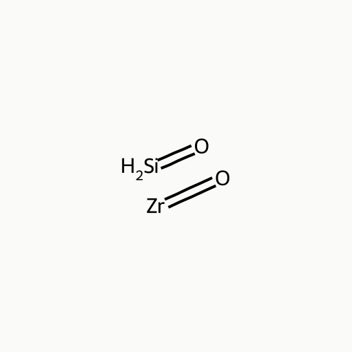 O=[SiH2].[O]=[Zr]